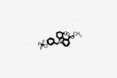 COC(=O)c1cccc2c1c1c(n2Cc2cccc(OC(F)(F)F)c2)CCCC1=O